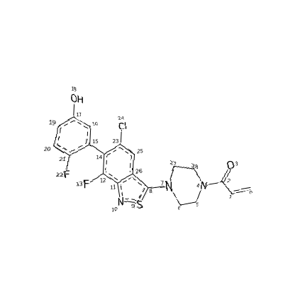 C=CC(=O)N1CCN(c2snc3c(F)c(-c4cc(O)ccc4F)c(Cl)cc23)CC1